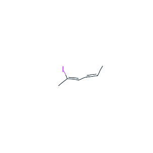 CC=CC=C(C)I